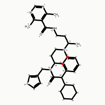 Cc1ncnc(C)c1C(=O)NCCC(C)N1CCC(N(Cc2ccsc2)C(=O)C(c2ccccc2)C2CCCCC2)CC1